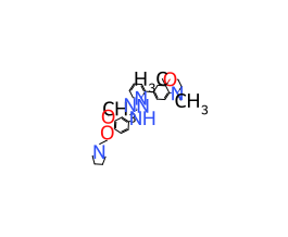 COc1cc(Nc2nc3cccc(C4=CC=C5N(C)CCOC5(C)C4)n3n2)ccc1OCCN1CCCC1